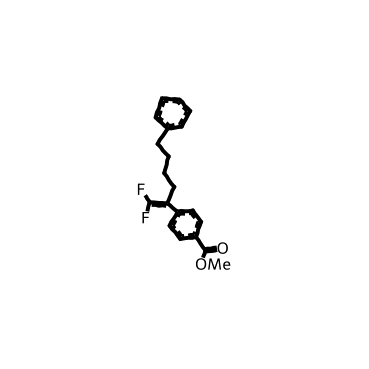 COC(=O)c1ccc(C(CCCCc2ccccc2)=C(F)F)cc1